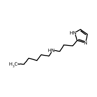 CCCCCCNCCCc1ncc[nH]1